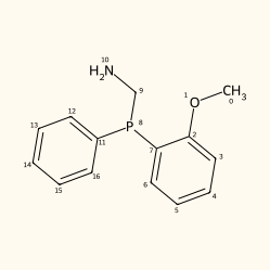 COc1ccccc1P(CN)c1ccccc1